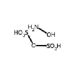 NO.O=S(=O)(O)OS(=O)(=O)O